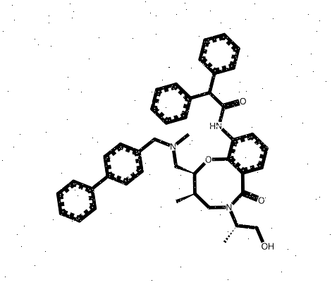 C[C@@H]1CN([C@@H](C)CO)C(=O)c2cccc(NC(=O)C(c3ccccc3)c3ccccc3)c2O[C@@H]1CN(C)Cc1ccc(-c2ccccc2)cc1